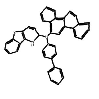 C1=CC(N(c2ccc(-c3ccccc3)cc2)c2cc3c4ccccc4ccc3c3ccccc23)Nc2c1sc1ccccc21